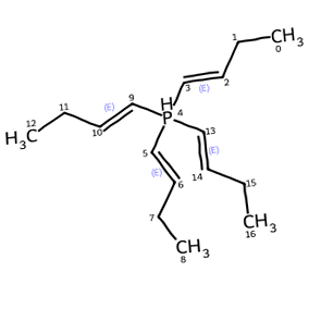 CC/C=C/[PH](/C=C/CC)(/C=C/CC)/C=C/CC